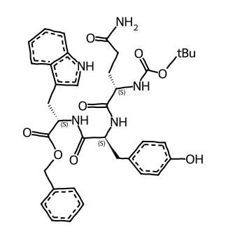 CC(C)(C)OC(=O)N[C@@H](CCC(N)=O)C(=O)N[C@@H](Cc1ccc(O)cc1)C(=O)N[C@@H](Cc1c[nH]c2ccccc12)C(=O)OCc1ccccc1